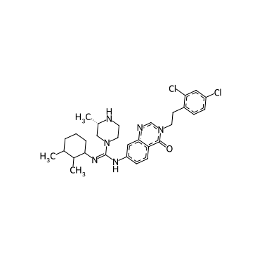 CC1CCCC(/N=C(/Nc2ccc3c(=O)n(CCc4ccc(Cl)cc4Cl)cnc3c2)N2CCN[C@@H](C)C2)C1C